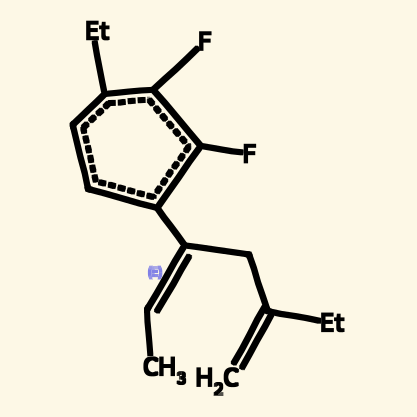 C=C(CC)C/C(=C\C)c1ccc(CC)c(F)c1F